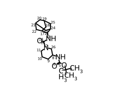 CC(C)(C)OC(=O)NC1CCCN(C(=O)NC2C3CC4CC(C3)CC2C4)C1